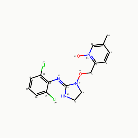 Cc1ccc(CON2CCNC2=Nc2c(Cl)cccc2Cl)[n+]([O-])c1